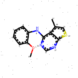 COc1ccccc1Nc1ncnc2scc(C)c12